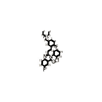 CC[As](CC)Cc1ccc(F)c(/C=C/c2nc3ccc(F)cc3c(=O)n2-c2ccccc2Cl)c1